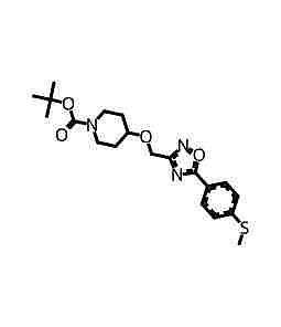 CSc1ccc(-c2nc(COC3CCN(C(=O)OC(C)(C)C)CC3)no2)cc1